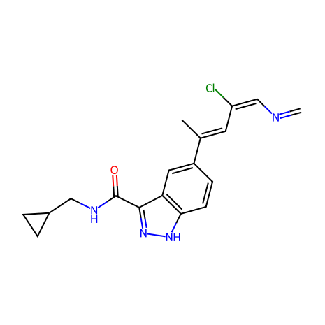 C=N/C=C(Cl)\C=C(/C)c1ccc2[nH]nc(C(=O)NCC3CC3)c2c1